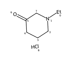 CCN1CCCC(=O)C1.Cl